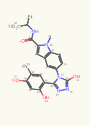 CCC(NC(=O)c1cc2cc(-n3c(O)nnc3-c3cc(C(C)C)c(O)cc3O)ccc2n1C)C(=O)O